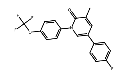 Cc1cc(-c2ccc(F)cc2)cn(-c2ccc(OC(F)(F)F)cc2)c1=O